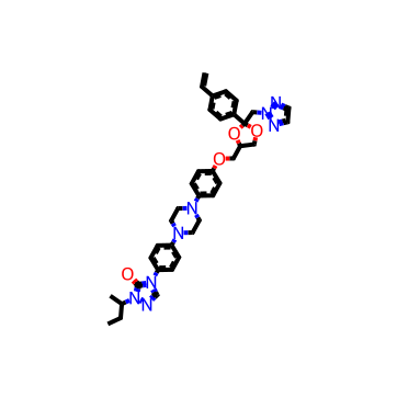 C=Cc1ccc(C2(Cn3nccn3)OCC(COc3ccc(N4CCN(c5ccc(-n6cnn(C(C)CC)c6=O)cc5)CC4)cc3)O2)cc1